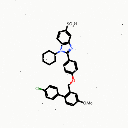 COc1ccc(-c2ccc(Cl)cc2)c(COc2ccc(-c3nc4cc(S(=O)(=O)O)ccc4n3C3CCCCC3)cc2)c1